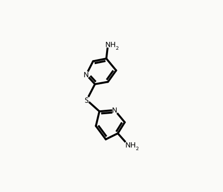 Nc1ccc(Sc2ccc(N)cn2)nc1